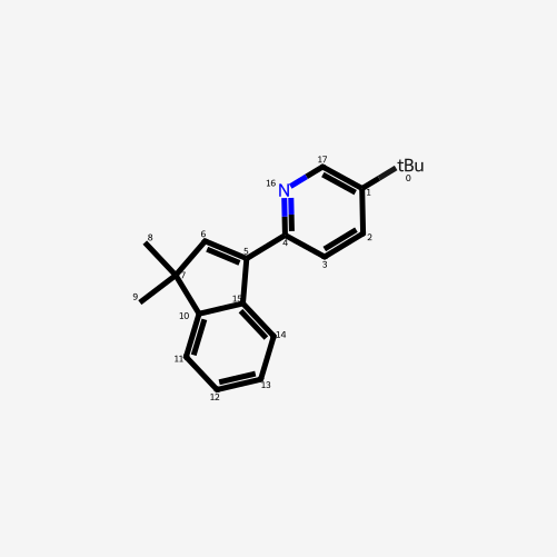 CC(C)(C)c1ccc(C2=CC(C)(C)c3ccccc32)nc1